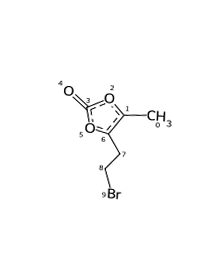 Cc1oc(=O)oc1CCBr